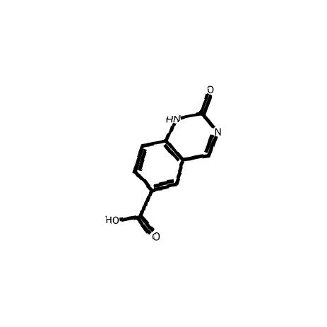 O=C(O)c1ccc2[nH]c(=O)ncc2c1